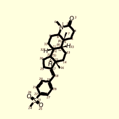 CN1C(=O)CC[C@@]2(C)C1CC[C@@H]1[C@H]2CC[C@]2(C)C(=Cc3ccc(S(C)(=O)=O)cc3)CC[C@@H]12